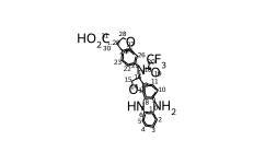 Nc1ccccc1Nc1cccc2c1OCC2N(C(=O)C(F)(F)F)c1ccc2c(c1)OC[C@H]2CC(=O)O